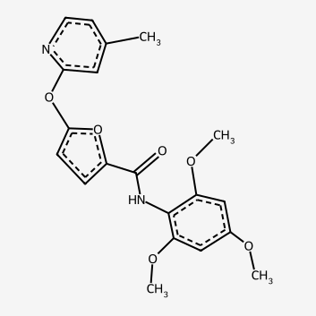 COc1cc(OC)c(NC(=O)c2ccc(Oc3cc(C)ccn3)o2)c(OC)c1